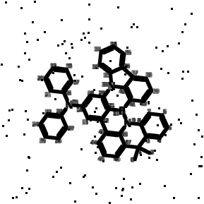 CC1(C)c2ccccc2N2B3c4c(cc(N(c5ccccc5)c5ccccc5)cc4-n4c5ccccc5c5cccc3c54)-c3cccc1c32